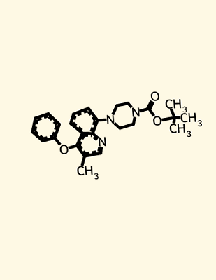 Cc1cnc2c(N3CCN(C(=O)OC(C)(C)C)CC3)cccc2c1Oc1ccccc1